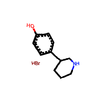 Br.Oc1ccc(C2CCCNC2)cc1